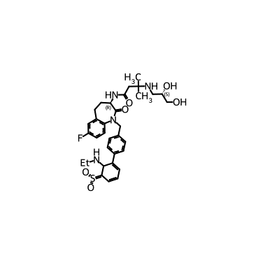 CCNC1C(c2ccc(CN3C(=O)[C@H](NC(=O)CC(C)(C)NC[C@H](O)CO)CCc4cc(F)ccc43)cc2)=CC=CC1=S(=O)=O